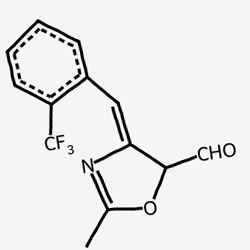 CC1=NC(=Cc2ccccc2C(F)(F)F)C(C=O)O1